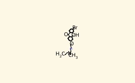 C=CCN(C)C/C=C/COc1ccc(C(=O)c2ccc(Br)cc2)c(O)c1